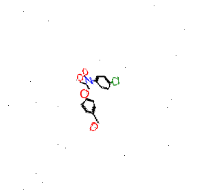 O=Cc1ccc(OCC2COC(=O)N2c2ccc(Cl)cc2)cc1